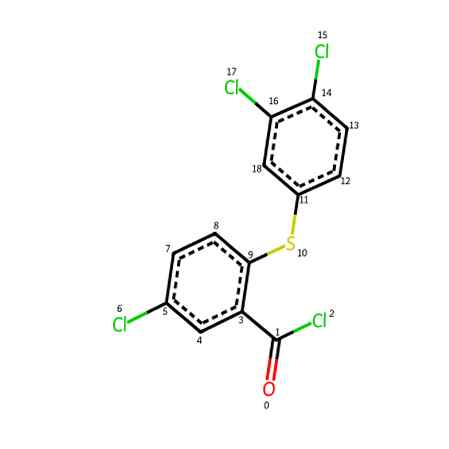 O=C(Cl)c1cc(Cl)ccc1Sc1ccc(Cl)c(Cl)c1